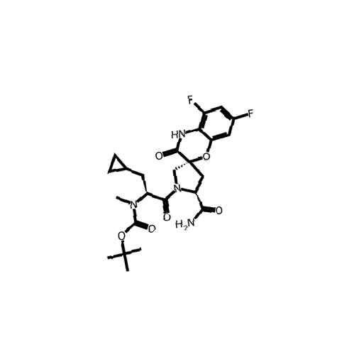 CN(C(=O)OC(C)(C)C)[C@@H](CC1CC1)C(=O)N1C[C@@]2(C[C@H]1C(N)=O)Oc1cc(F)cc(F)c1NC2=O